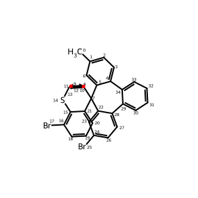 Cc1ccc2c(c1)C1(c3ccccc3Sc3c(Br)cccc31)c1cc(Br)ccc1-c1ccccc1-2